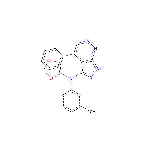 Cc1cccc(N(C2=COCO2)c2n[nH]c3nncc(-c4ccccc4)c23)c1